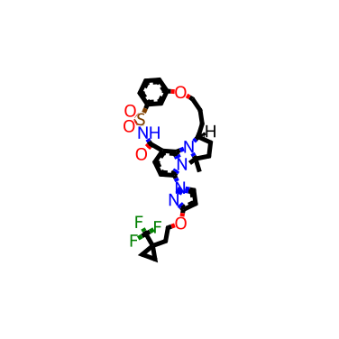 CC1(C)CC[C@H]2CCCOc3cccc(c3)S(=O)(=O)NC(=O)c3ccc(-n4ccc(OCCC5(C(F)(F)F)CC5)n4)nc3N21